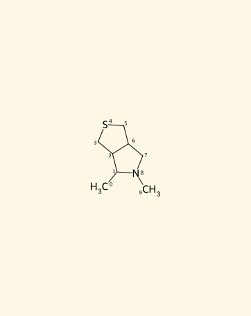 CC1C2CSCC2CN1C